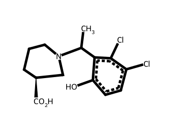 CC(c1c(O)ccc(Cl)c1Cl)N1CCC[C@H](C(=O)O)C1